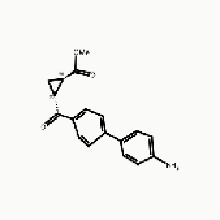 COC(=O)[C@@H]1C[C@H]1C(=O)c1ccc(-c2ccc(N)cc2)cc1